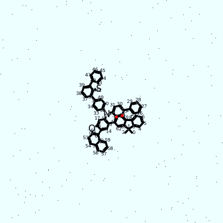 CC1(C)c2ccccc2-c2ccc(-c3cc4c(cc3N(c3ccc(-c5ccccc5)cc3)c3ccc(-c5cccc6c5sc5ccccc56)cc3)oc3ccc5ccccc5c34)cc21